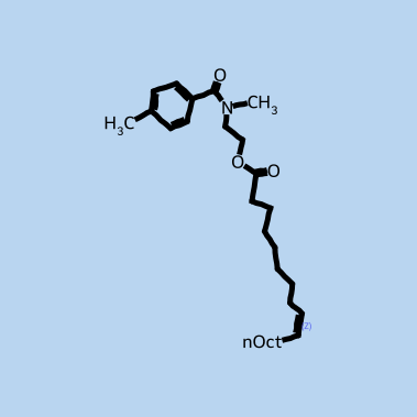 CCCCCCCC/C=C\CCCCCCCC(=O)OCCN(C)C(=O)c1ccc(C)cc1